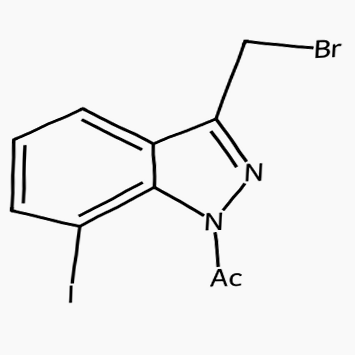 CC(=O)n1nc(CBr)c2cccc(I)c21